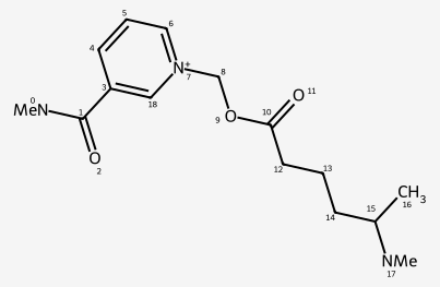 CNC(=O)c1ccc[n+](COC(=O)CCCC(C)NC)c1